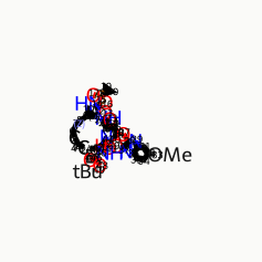 CC[C@@H]1C[C@H](C)CC/C=C\C2C[C@@]2(C(=O)NS(=O)(=O)C2CC2)NC(=O)[C@@H]2C[C@@H](Oc3nc4cc(OC)ccc4nc3O)CN2C(=O)[C@H]1NC(=O)OC(C)(C)C